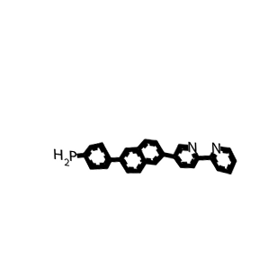 Pc1ccc(-c2ccc3cc(-c4ccc(-c5ccccn5)nc4)ccc3c2)cc1